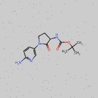 CC(C)(C)OC(=O)N[C@@H]1CCN(c2ccc(N)nc2)C1=O